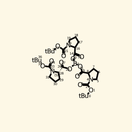 CC(C)(C)OC(=O)N1CCCC1C(=O)OB(OC(=O)C1CCCN1C(=O)OC(C)(C)C)OC(=O)[C@@H]1CCCN1C(=O)OC(C)(C)C